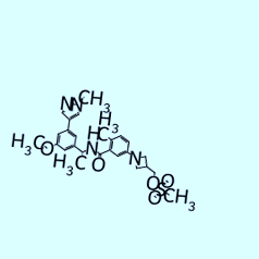 COc1cc(-c2cnn(C)c2)cc([C@@H](C)NC(=O)c2cc(N3CC(COS(C)(=O)=O)C3)ccc2C)c1